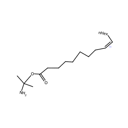 CCCCCC/C=C\CCCCCCCC(=O)OC(C)(C)N